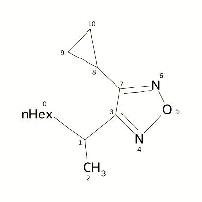 CCCCCCC(C)c1nonc1C1CC1